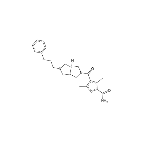 Cc1sc(C(N)=O)c(C)c1C(=O)N1CC2CN(CC[CH]c3ccccc3)C[C@H]2C1